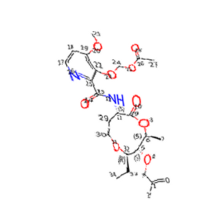 C=C(C)CO[C@H]1[C@H](C)OC(=O)[C@@H](NC(=O)c2nccc(OC)c2OCOC(C)=O)CCO[C@@H]1CC